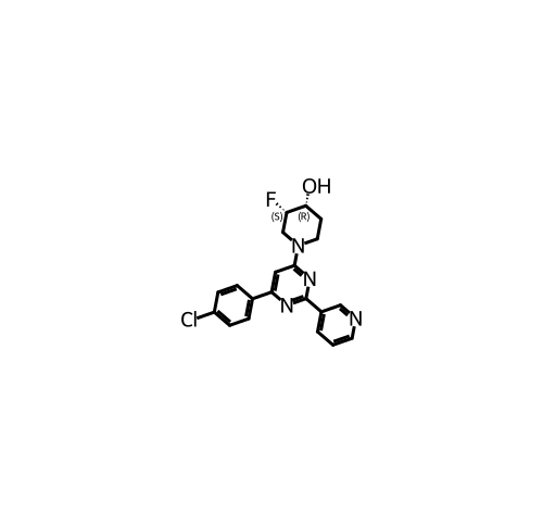 O[C@@H]1CCN(c2cc(-c3ccc(Cl)cc3)nc(-c3cccnc3)n2)C[C@@H]1F